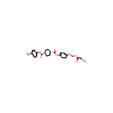 C=CC(=O)OCOc1ccc(OC(=O)[C@H]2CC[C@H](C(=O)Oc3ccc(C#N)cc3)CC2)cc1